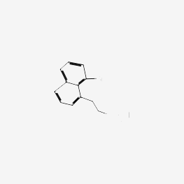 O=C(O)CCc1cccc2cccc(Br)c12